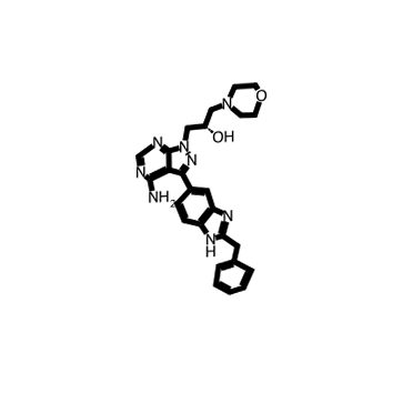 Nc1ncnc2c1c(-c1ccc3[nH]c(Cc4ccccc4)nc3c1)nn2C[C@@H](O)CN1CCOCC1